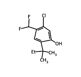 CCC(C)(C)c1cc(C(F)F)c(Cl)cc1O